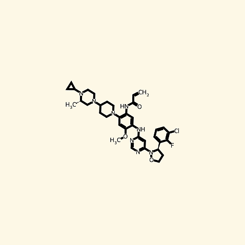 C=CC(=O)Nc1cc(Nc2cc(N3OCC[C@@H]3c3cccc(Cl)c3F)ncn2)c(OC)cc1N1CCC(N2CCN(C3CC3)[C@@H](C)C2)CC1